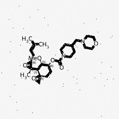 CO[C@@H]1[C@H](OC(=O)N2CCC(CN3CCOCC3)CC2)CC[C@]2(CO2)[C@H]1[C@@]1(C)O[C@@H]1CC=C(C)C